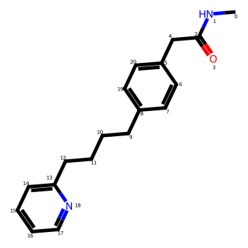 CNC(=O)Cc1ccc(CCCCc2ccccn2)cc1